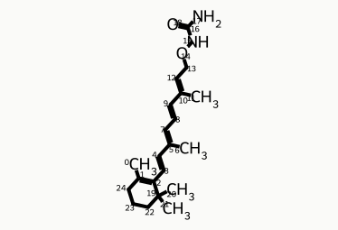 CC1=C(/C=C/C(C)=C/C=C/C(C)=C/CONC(N)=O)C(C)(C)CCC1